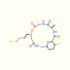 C=C1NC(=O)c2nc(ccc2F)CNC(=O)C[C@@H](/C=C/CCS)OC(=O)[C@H](C)NC1=O